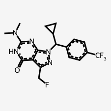 CN(C)c1nc2c(c(CF)nn2C(c2ccc(C(F)(F)F)cc2)C2CC2)c(=O)[nH]1